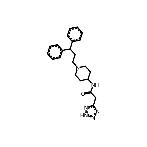 O=C(Cc1nn[nH]n1)NC1CCN(CCC(c2ccccc2)c2ccccc2)CC1